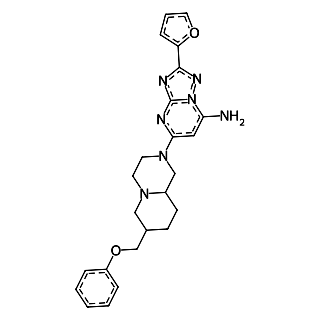 Nc1cc(N2CCN3CC(COc4ccccc4)CCC3C2)nc2nc(-c3ccco3)nn12